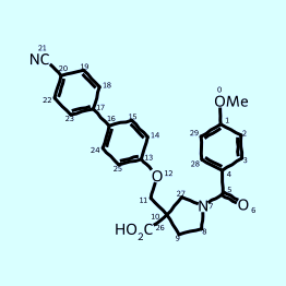 COc1ccc(C(=O)N2CCC(COc3ccc(-c4ccc(C#N)cc4)cc3)(C(=O)O)C2)cc1